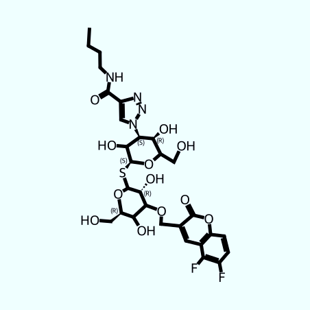 CCCCNC(=O)c1cn([C@@H]2C(O)[C@H](SC3O[C@H](CO)C(O)C(OCc4cc5c(F)c(F)ccc5oc4=O)[C@H]3O)OC(CO)[C@@H]2O)nn1